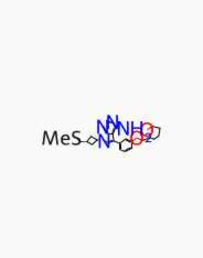 CSC[C@H]1C[C@@H](n2cc(-c3cccc(OCC4CCCCO4)c3)c3c(N)ncnc32)C1